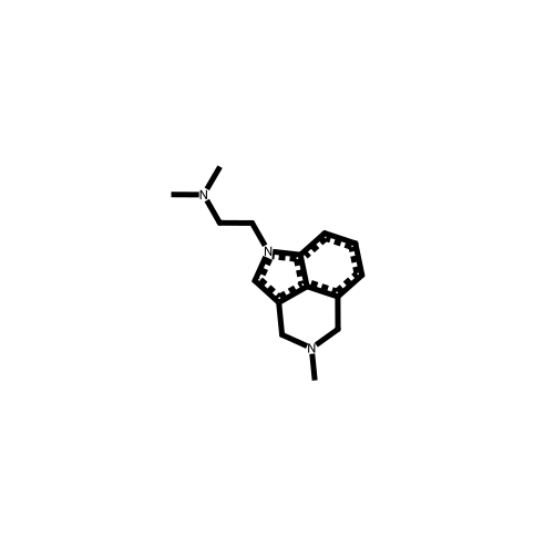 CN(C)CCn1cc2c3c(cccc31)CN(C)C2